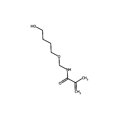 C=C(C)C(=O)NCOCCCCO